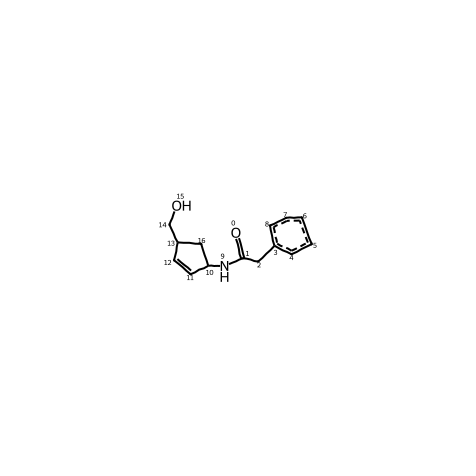 O=C(Cc1ccccc1)NC1C=CC(CO)C1